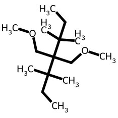 CCC(C)(C)C(COC)(COC)C(C)(C)CC